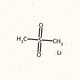 CS(C)(=O)=O.[Li]